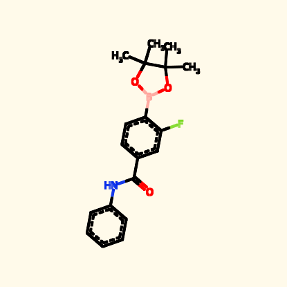 CC1(C)OB(c2ccc(C(=O)Nc3ccccc3)cc2F)OC1(C)C